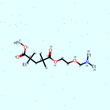 CCCOC(=O)C(C)(CC)CC(C)(C)C(=O)OCCOCN(CC)CC